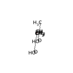 CC.CC.CCCCCCCCCCCCCCCCCC(=O)O.CCCCCCCCCCCCCCCCCC(=O)O